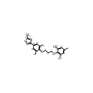 Cc1cc(Cl)c(OCCCOc2c(C)cc(-c3noc(C(F)(F)F)n3)cc2C)c(Cl)c1